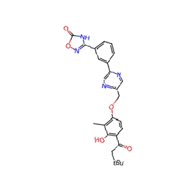 Cc1c(OCc2cnc(-c3cccc(-c4noc(=O)[nH]4)c3)cn2)ccc(C(=O)CC(C)(C)C)c1O